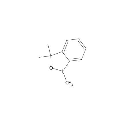 CC1(C)OI(C(F)(F)F)c2ccccc21